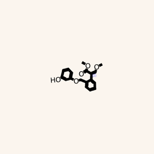 CO/C=C(\C(=O)OC)c1ccccc1COc1cccc(O)c1